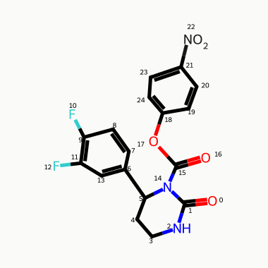 O=C1NCCC(c2ccc(F)c(F)c2)N1C(=O)Oc1ccc([N+](=O)[O-])cc1